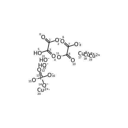 O=C([O-])C(=O)O.O=C([O-])C(=O)[O-].O=P([O-])([O-])[O-].[Cu+2].[Cu+2].[Cu+2].[Cu+2].[OH-].[OH-]